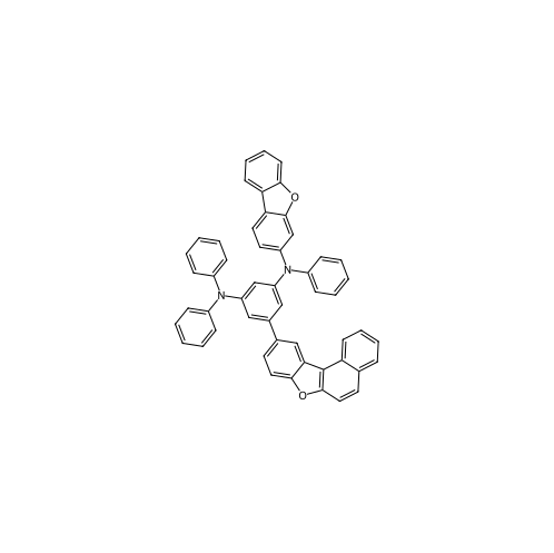 c1ccc(N(c2ccccc2)c2cc(-c3ccc4oc5ccc6ccccc6c5c4c3)cc(N(c3ccccc3)c3ccc4c(c3)oc3ccccc34)c2)cc1